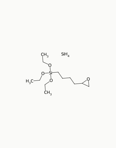 CCO[Si](CCCCC1CO1)(OCC)OCC.[SiH4]